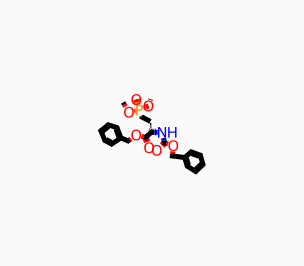 COP(=O)(CC[C@H](NC(=O)OCc1ccccc1)C(=O)OCc1ccccc1)OC